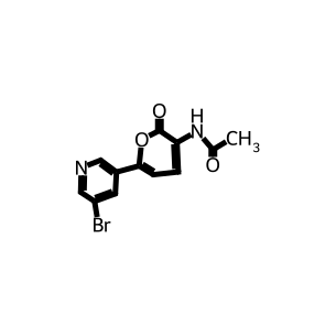 CC(=O)Nc1ccc(-c2cncc(Br)c2)oc1=O